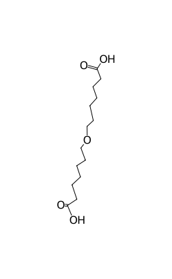 O=C(O)CCCCCCOCCCCCCC(=O)O